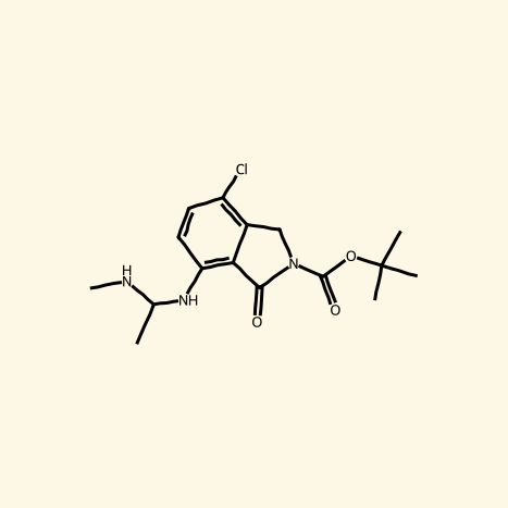 CNC(C)Nc1ccc(Cl)c2c1C(=O)N(C(=O)OC(C)(C)C)C2